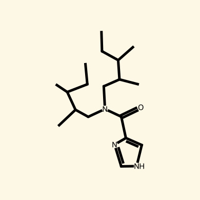 CCC(C)C(C)CN(CC(C)C(C)CC)C(=O)c1c[nH]cn1